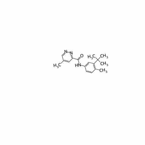 Cc1cnnc(C(=O)Nc2ccc(C)c(C(C)(C)C)c2)c1